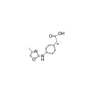 Cc1coc(Nc2ccc([C@@H](C)C(=O)O)cc2)n1